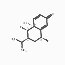 CC(C)[C@@H]1C[C@H](F)C2=CC(=O)C=C[C@]2(C)[C@@H]1F